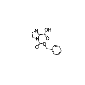 O=C(O)C1=NCCN1C(=O)OCc1ccccc1